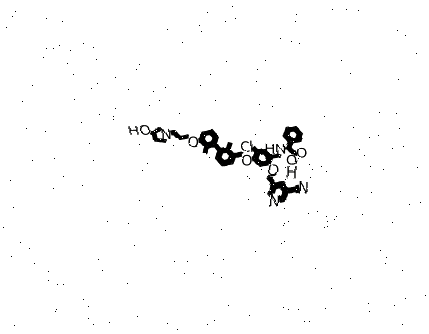 Cc1c(COc2cc(OCc3cncc(C#N)c3)c(CN[C@H](C(=O)O)c3ccccc3)cc2Cl)cccc1-c1cccc(OCCCN2CCC(O)C2)c1C